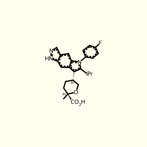 CC(C)c1c([C@H]2CC[C@](C)(C(=O)O)OC2)c2cc3[nH]ncc3cc2n1-c1ccc(F)cc1